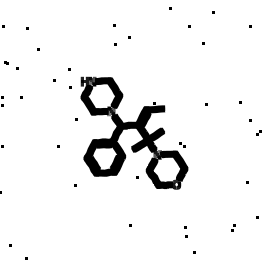 C/C=C(/C(c1ccccc1)N1CCNCC1)C(C)(C)N1CCOCC1